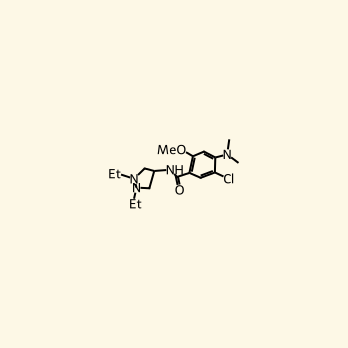 CCN1CC(NC(=O)c2cc(Cl)c(N(C)C)cc2OC)CN1CC